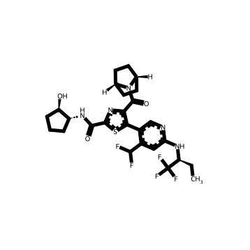 CC[C@H](Nc1cc(C(F)F)c(-c2sc(C(=O)N[C@@H]3CCC[C@H]3O)nc2C(=O)N2[C@H]3CC[C@@H]2CC3)cn1)C(F)(F)F